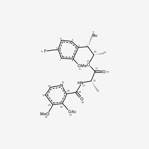 CCC(C)[C@@H](c1ccc(F)cc1OC)[C@H](C)OC(=O)[C@H](C)NC(=O)c1nccc(OC)c1OC(C)=O